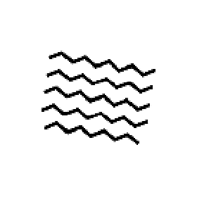 CCCCCCCCC.CCCCCCCCCC.CCCCCCCCCC.CCCCCCCCCC.CCCCCCCCCC